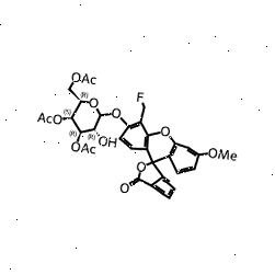 COc1ccc2c(c1)Oc1c(ccc(OC3O[C@H](COC(C)=O)[C@H](OC(C)=O)[C@H](OC(C)=O)[C@H]3O)c1CF)C21OC(=O)c2ccccc21